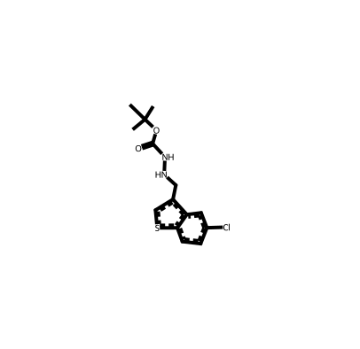 CC(C)(C)OC(=O)NNCc1csc2ccc(Cl)cc12